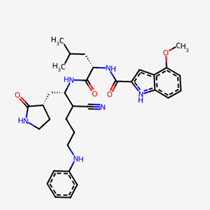 COc1cccc2[nH]c(C(=O)N[C@@H](CC(C)C)C(=O)N[C@@H](C[C@@H]3CCNC3=O)C(C#N)CCCNc3ccccc3)cc12